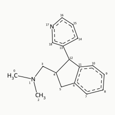 CN(C)CC1Cc2ccccc2C1c1cccnc1